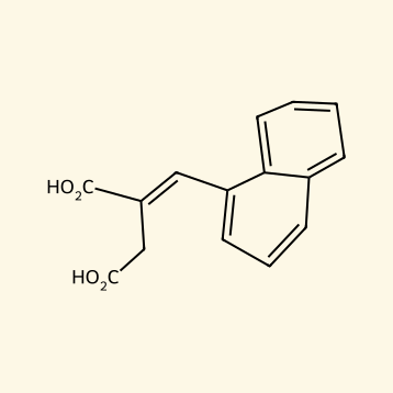 O=C(O)CC(=Cc1cccc2ccccc12)C(=O)O